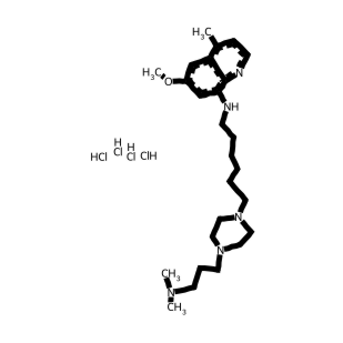 COc1cc(NCCCCCCN2CCN(CCCN(C)C)CC2)c2nccc(C)c2c1.Cl.Cl.Cl.Cl